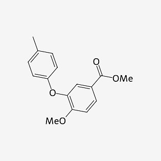 COC(=O)c1ccc(OC)c(Oc2ccc(C)cc2)c1